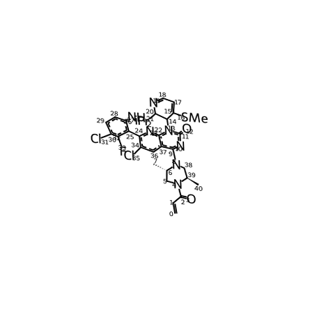 C=CC(=O)N1C[C@H](C)N(c2nc(=O)n(C3C(SC)=CC=NC3C(C)C)c3nc(-c4c(N)ccc(Cl)c4F)c(Cl)cc23)C[C@H]1C